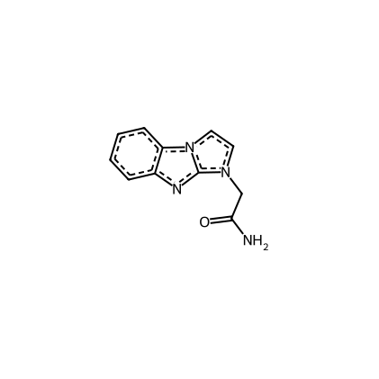 NC(=O)Cn1ccn2c3ccccc3nc12